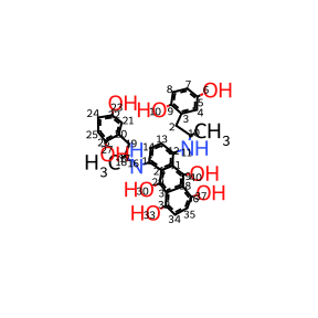 CC(Cc1cc(O)ccc1O)Nc1ccc(NC(C)Cc2cc(O)ccc2O)c2c(O)c3c(O)ccc(O)c3c(O)c12